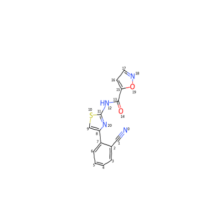 N#Cc1ccccc1-c1csc(NC(=O)c2ccno2)n1